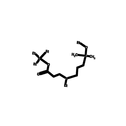 CCO[Si](C)(C)CCCN(CC)CCC(=O)O[Si](CC)(CC)CC